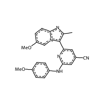 COc1ccc(Nc2cc(C#N)cc(-c3c(C)nc4ccc(OC)cn34)n2)cc1